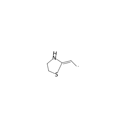 [CH2]C=C1NCCS1